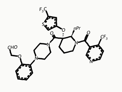 CCC[C@H]1N(C(=O)c2cnccc2C(F)(F)F)CCC[C@@]1(Oc1csc(C(F)(F)F)c1)C(=O)N1CCN(c2ccccc2OCC=O)CC1